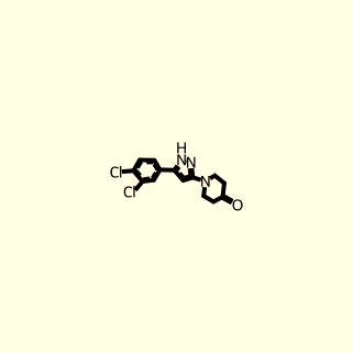 O=C1CCN(c2cc(-c3ccc(Cl)c(Cl)c3)[nH]n2)CC1